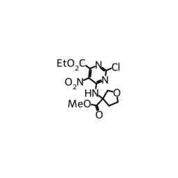 CCOC(=O)c1nc(Cl)nc(NC2(C(=O)OC)CCOC2)c1[N+](=O)[O-]